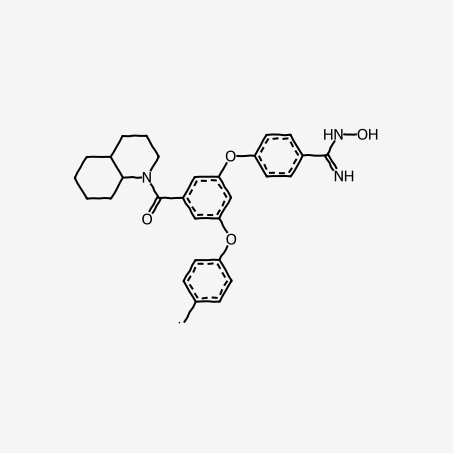 [CH2]c1ccc(Oc2cc(Oc3ccc(C(=N)NO)cc3)cc(C(=O)N3CCCC4CCCCC43)c2)cc1